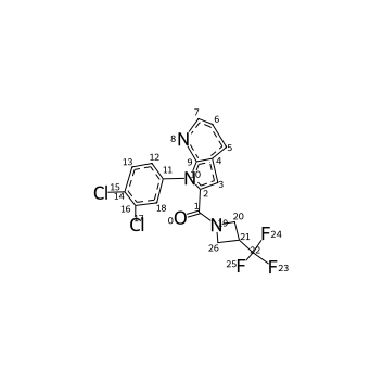 O=C(c1cc2cccnc2n1-c1ccc(Cl)c(Cl)c1)N1CC(C(F)(F)F)C1